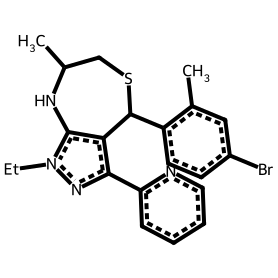 CCn1nc(-c2ccccn2)c2c1NC(C)CSC2c1ccc(Br)cc1C